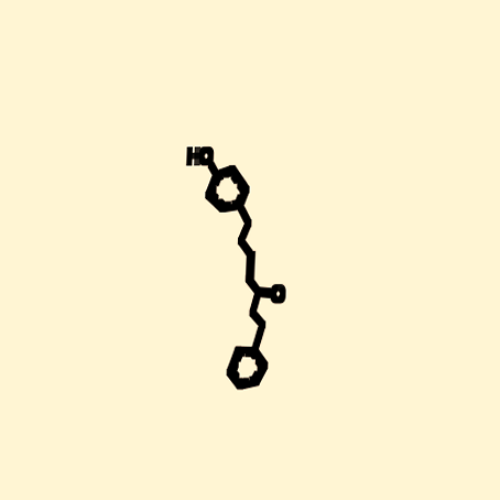 O=C(C=CCCc1ccc(O)cc1)CCc1ccccc1